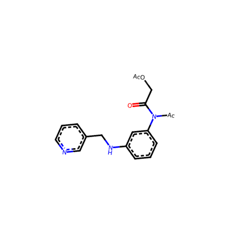 CC(=O)OCC(=O)N(C(C)=O)c1cccc(NCc2cccnc2)c1